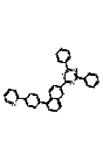 C1=CC(c2ccccn2)CC=C1c1cccc2cc(-c3nc(-c4ccccc4)nc(-c4ccccc4)n3)ccc12